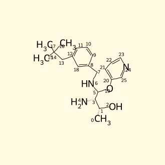 C[C@@H](O)[C@H](N)C(NCc1cccc(CC(C)(C)C)c1)Oc1cccnc1